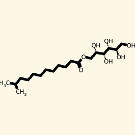 CC(C)CCCCCCCCCC(=O)OC[C@H](O)[C@@H](O)[C@H](O)[C@H](O)CO